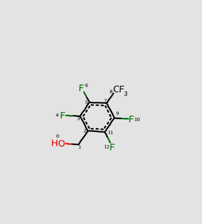 OCc1c(F)c(F)c(C(F)(F)F)c(F)c1F